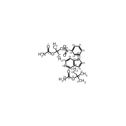 CC(C)(C)OC(N)=O.CC(C)(C)OC(N)=O.O=[N+]([O-])c1ccccc1.c1cc2[nH]ccc2cn1